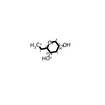 CCC1OC[C@H](O)C[C@@H]1O